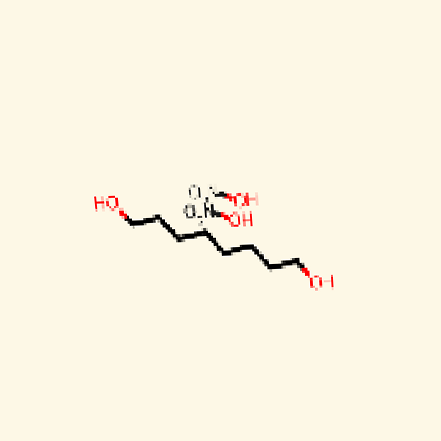 O=[N+]([O-])O.O=[N+]([O-])O.OCCCCCCCCO